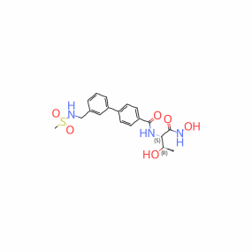 C[C@@H](O)[C@H](NC(=O)c1ccc(-c2cccc(CNS(C)(=O)=O)c2)cc1)C(=O)NO